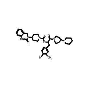 Cc1cc(CC(NC(=O)N2CCC(N3Cc4ccccc4NC3=O)CC2)C(=O)N2CCC(N3CCCCC3)CC2)ccc1Br